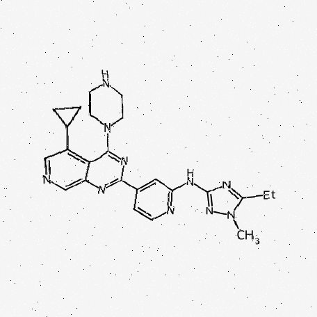 CCc1nc(Nc2cc(-c3nc(N4CCNCC4)c4c(C5CC5)cncc4n3)ccn2)nn1C